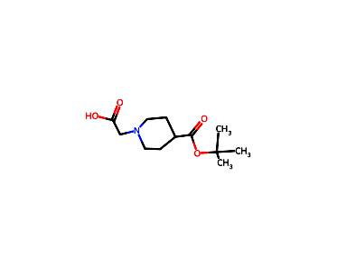 CC(C)(C)OC(=O)C1CCN(CC(=O)O)CC1